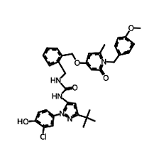 COc1ccc(Cn2c(C)cc(OCc3ccccc3CNC(=O)Nc3cc(C(C)(C)C)nn3-c3ccc(O)c(Cl)c3)cc2=O)cc1